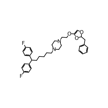 Fc1ccc(C(CCCCCN2CCN(CCOC3=COC(Cc4ccccc4)O3)CC2)c2ccc(F)cc2)cc1